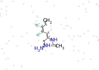 C=C/C(F)=C(F)\C=C(/CNN)NCC